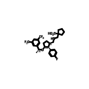 C[C@@H](O[C@H]1CC[C@@H](CNCC2(C(=O)O)CCCC2)[C@@H]1c1ccc(F)cc1)c1cc(C(F)(F)F)cc(C(F)(F)F)c1